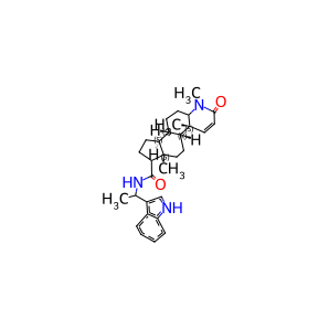 CC(NC(=O)C1CC[C@H]2[C@@H]3CCC4N(C)C(=O)C=C[C@]4(C)[C@@H]3CC[C@]12C)c1c[nH]c2ccccc12